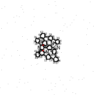 N#Cc1cc(-n2c3ccccc3c3ccc(-c4ccccc4-c4ccccc4)cc32)c(-c2cc(-c3ccccc3)nc(-c3ccccc3)c2)cc1-n1c2ccccc2c2ccc(-c3ccccc3-c3ccccc3)cc21